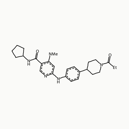 CCC(=O)N1CCC(c2ccc(Nc3cc(NC)c(C(=O)NC4CCCC4)cn3)cc2)CC1